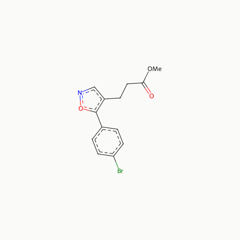 COC(=O)CCc1cnoc1-c1ccc(Br)cc1